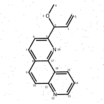 C=CC(OC)c1ccc2ccc3ncccc3c2n1